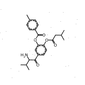 Cc1ccc(C(=O)Oc2cc(C(=O)C(N)C(C)C)ccc2OC(=O)CC(C)C)cc1